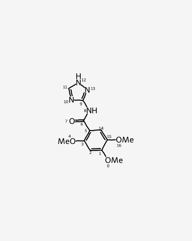 COc1cc(OC)c(C(=O)Nc2nc[nH]n2)cc1OC